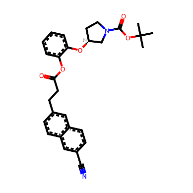 CC(C)(C)OC(=O)N1CC[C@H](Oc2ccccc2OC(=O)CCc2ccc3cc(C#N)ccc3c2)C1